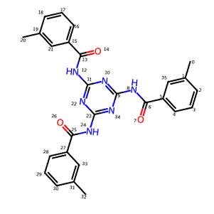 Cc1cccc(C(=O)Nc2nc(NC(=O)c3cccc(C)c3)nc(NC(=O)c3cccc(C)c3)n2)c1